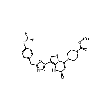 CC(C)(C)OC(=O)N1CCC(c2cc(=O)[nH]c3c(-c4nnc(Cc5ccc(OC(F)F)cc5)o4)cnn23)CC1